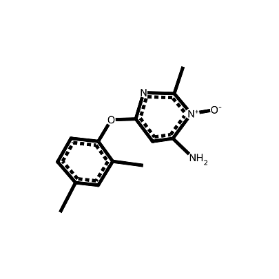 Cc1ccc(Oc2cc(N)[n+]([O-])c(C)n2)c(C)c1